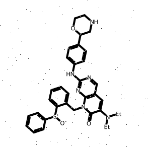 CCN(CC)c1cc2cnc(Nc3ccc(C4CNCCO4)cc3)nc2n(Cc2ccccc2[S+]([O-])c2ccccc2)c1=O